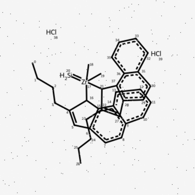 CCCCC1=Cc2ccc3ccccc3c2[CH]1[Zr]([CH3])([CH3])(=[SiH2])[CH]1C(CCCC)=Cc2ccc3ccccc3c21.Cl.Cl